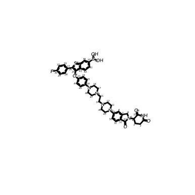 O=C1CCC(N2Cc3cc(N4CCN(CCN5CCN(c6ccc(Oc7c(-c8ccc(F)cc8)sc8cc(B(O)O)ccc78)cc6)CC5)CC4)ccc3C2=O)C(=O)N1